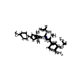 COC1CCN([C@H]2C[C@@H]3[C@H](C2)[C@H]3/C(=C/C(=N)c2cnc(N)c(OC(F)F)c2)NC(C)C)CC1